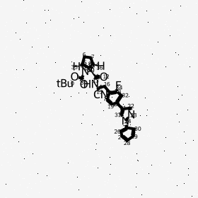 CC(C)(C)OC(=O)N1[C@@H]2CC[C@@H](C2)[C@H]1C(=O)NC(C#N)Cc1ccc(-c2cnn(-c3ccccc3)c2)cc1F